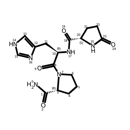 NC(=O)[C@H]1CCCN1C(=O)[C@@H](Cc1c[nH]cn1)NC(=O)[C@@H]1CCC(=O)N1